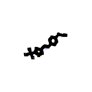 CCCCOc1ccc(/C=C/c2nnc(C(Cl)(Cl)CC)o2)cc1